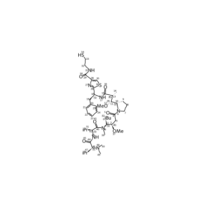 CC[C@H](C)[C@@H]([C@@H](CC(=O)N1CCC[C@H]1[C@H](OC)[C@@H](C)C(=O)N[C@@H](Cc1ccccc1)c1nc(C(=O)NCCS)cs1)OC)N(C)C(=O)[C@@H](NC(=O)[C@H](C(C)C)N(C)C)C(C)C